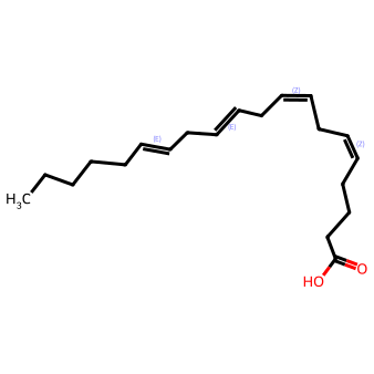 CCCCC/C=C/C/C=C/C/C=C\C/C=C\CCCC(=O)O